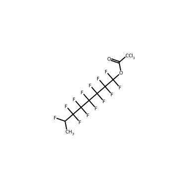 CC(F)C(F)(F)C(F)(F)C(F)(F)C(F)(F)C(F)(F)C(F)(F)OC(=O)C(Cl)(Cl)Cl